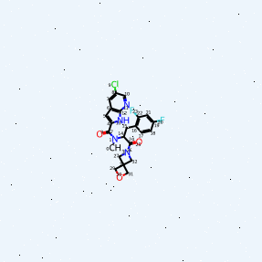 CN(C(=O)c1cc2cc(Cl)cnc2[nH]1)C(Cc1ccc(F)cc1F)C(=O)N1CC2(COC2)C1